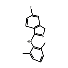 Cc1cccc(C)c1NC1=NCc2cc(F)ccc21